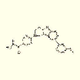 CSc1cccc(-c2ccc3c(c2)=C2CN(c4ncc(C(=O)NO)cn4)CCC2N=3)c1